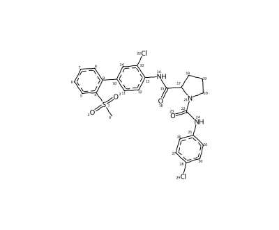 CS(=O)(=O)c1ccccc1-c1ccc(NC(=O)C2CCCN2C(=O)Nc2ccc(Cl)cc2)c(Cl)c1